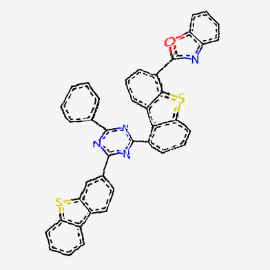 c1ccc(-c2nc(-c3ccc4c(c3)sc3ccccc34)nc(-c3cccc4sc5c(-c6nc7ccccc7o6)cccc5c34)n2)cc1